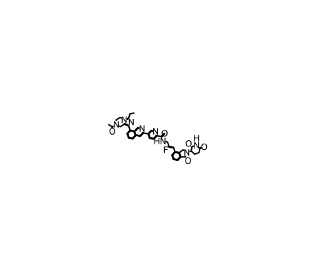 CCc1nc(-c2cccc3cc(-c4ccc(C(=O)NC/C(F)=C/c5cccc6c5CN(C5CCC(=O)NC5=O)C6=O)nc4)ncc23)c2n1CCN(C(C)=O)C2